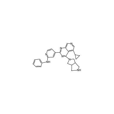 c1ccc(Nc2cc(-c3nc(N4CC5CNCC5C4)c4c(C5CC5)cncc4n3)ccn2)cc1